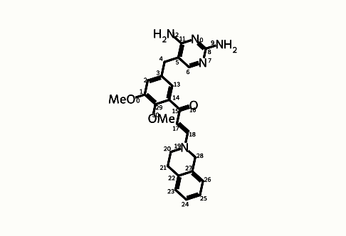 COc1cc(Cc2cnc(N)nc2N)cc(C(=O)/C=C/N2CCc3ccccc3C2)c1OC